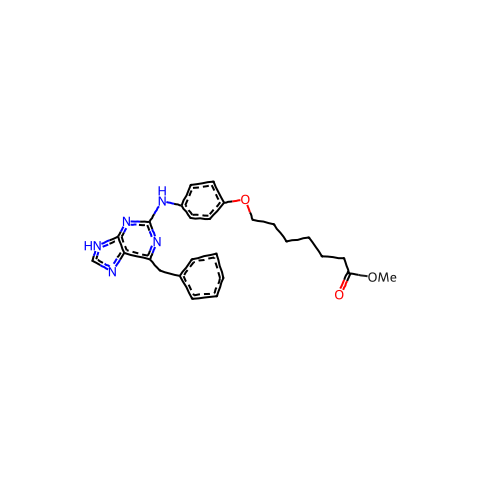 COC(=O)CCCCCCOc1ccc(Nc2nc(Cc3ccccc3)c3nc[nH]c3n2)cc1